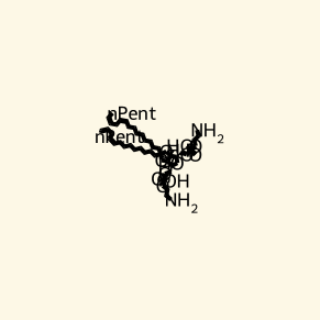 CCCCC/C=C\C/C=C\CCCCCCCCC1(CCCCCCCC/C=C\C/C=C\CCCCC)O[C@H]2[C@H](O1)[C@@H](COP(=O)(O)OCCN)O[C@H]2COP(=O)(O)OCCN